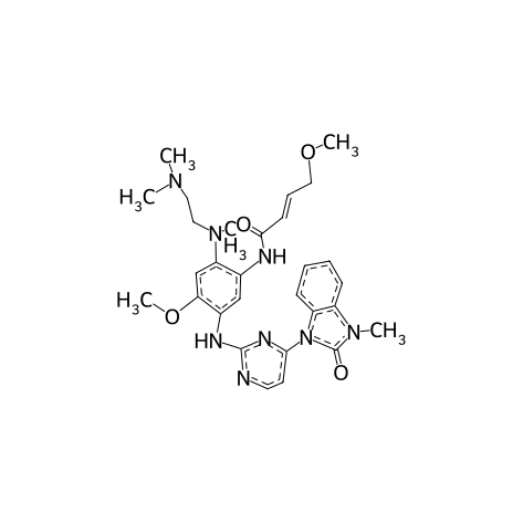 COC/C=C/C(=O)Nc1cc(Nc2nccc(-n3c(=O)n(C)c4ccccc43)n2)c(OC)cc1N(C)CCN(C)C